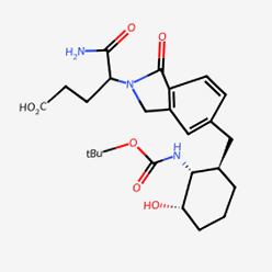 CC(C)(C)OC(=O)N[C@@H]1[C@@H](Cc2ccc3c(c2)CN(C(CCC(=O)O)C(N)=O)C3=O)CCC[C@@H]1O